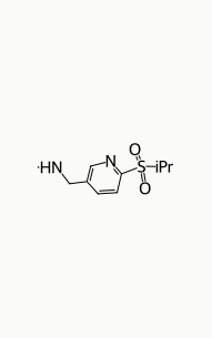 CC(C)S(=O)(=O)c1ccc(C[NH])cn1